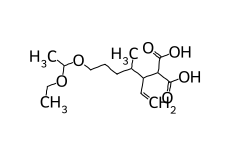 C=CC(C(C)CCCOC(C)OCC)C(C(=O)O)C(=O)O